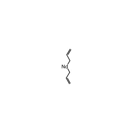 C=C[CH2][Nd][CH2]C=C